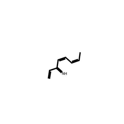 C=CC(=N)/C=C\C=C/C